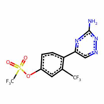 Nc1nncc(-c2ccc(OS(=O)(=O)C(F)(F)F)cc2C(F)(F)F)n1